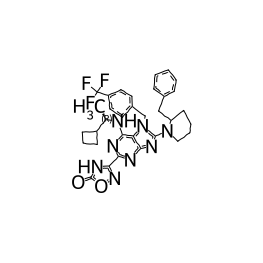 C[C@@H](Nc1nc(-c2noc(=O)[nH]2)nc2nc(N3CCCCC3Cc3ccccc3)n(Cc3ccc(C(F)(F)F)cc3)c12)C1CCC1